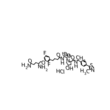 Cc1ncsc1-c1ccc([C@H](C)NC(=O)C2C[C@@H](O)CN2C(=O)[C@@H](NC(=O)CCCc2cc(F)cc(OC[C@@H](N)CCC(N)=O)c2F)C(C)(C)C)cc1.Cl